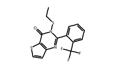 CCSn1c(-c2ccccc2C(F)(F)F)nc2ccsc2c1=O